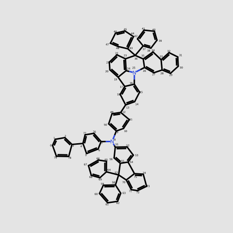 c1ccc(-c2ccc(N(c3ccc(-c4ccc5c(c4)c4cccc6c4n5-c4cc5ccccc5cc4C6(c4ccccc4)c4ccccc4)cc3)c3ccc4c(c3)C(c3ccccc3)(c3ccccc3)c3ccccc3-4)cc2)cc1